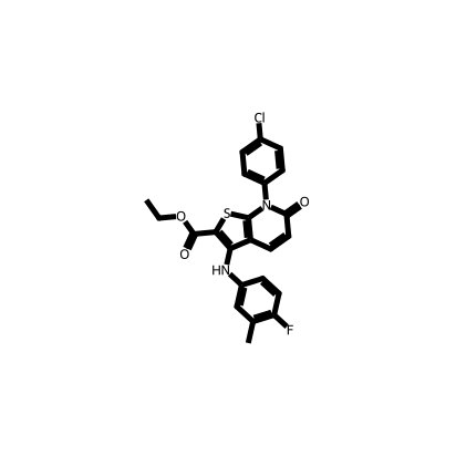 CCOC(=O)c1sc2c(ccc(=O)n2-c2ccc(Cl)cc2)c1Nc1ccc(F)c(C)c1